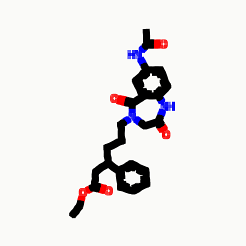 CCOC(=O)CC(CCCN1CC(=O)Nc2ccc(NC(C)=O)cc2C1=O)c1ccccc1